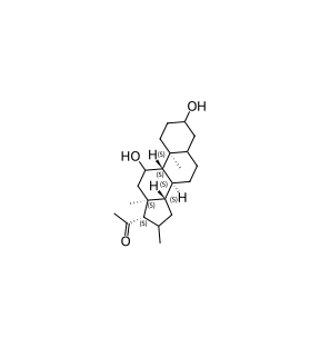 CC(=O)[C@H]1C(C)C[C@H]2[C@@H]3CCC4CC(O)CC[C@]4(C)[C@H]3C(O)C[C@]12C